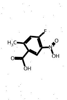 Cc1cc(F)c([N+](=O)O)cc1C(=O)O